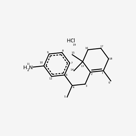 CC1=C(CC(C)c2cccc(N)c2)C(C)(C)CCC1.Cl